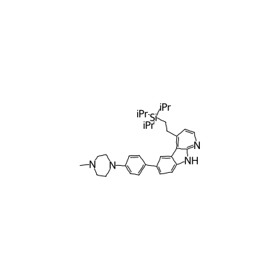 CC(C)[Si](CCc1ccnc2[nH]c3ccc(-c4ccc(N5CCN(C)CC5)cc4)cc3c12)(C(C)C)C(C)C